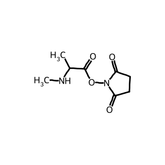 CNC(C)C(=O)ON1C(=O)CCC1=O